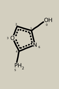 Oc1coc(P)n1